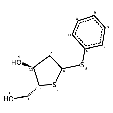 OC[C@H]1SC(Sc2ccccc2)C[C@@H]1O